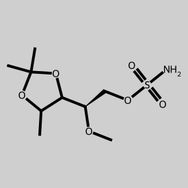 CO[C@H](COS(N)(=O)=O)C1OC(C)(C)OC1C